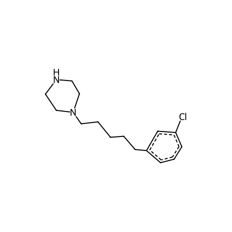 Clc1cccc(CCCCCN2CCNCC2)c1